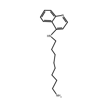 NCCCCCCCCNc1ccnc2ccccc12